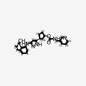 Cn1ncc2cccc(Nc3cc([C@H]4CC[C@@H](OC(=O)NCc5cccnc5)C4)[nH]n3)c21